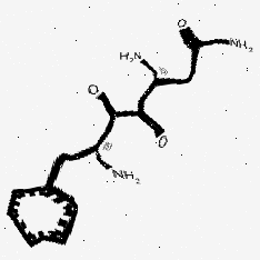 NC(=O)C[C@H](N)C(=O)C(=O)[C@@H](N)Cc1ccccc1